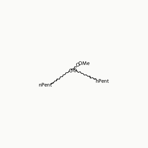 CCCCCC=CCC=CCCCCCCCCOCC(CCOCOC)OCCCCCCCCC=CCC=CCCCCC